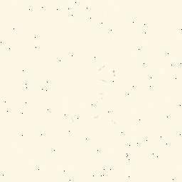 COc1ccc2c(c1)CC[C@H]1[C@@H]3[C@H](CCC(=O)O)CC(=O)[C@@]3(C)CC[C@H]21